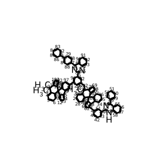 CC1(C)c2ccccc2C2(c3ccccc3-c3cc(-c4cc(CC5(C)c6ccccc6C6(C7=C(C=CCC7)c7c(-c8cccc(C9N=C(c%10ccccc%10)c%10ccccc%10N9)c8)cccc76)c6ccccc65)cc(-c5nc(-c6ccc(-c7ccccc7)cc6)c6ccccc6n5)c4)ccc32)c2ccccc21